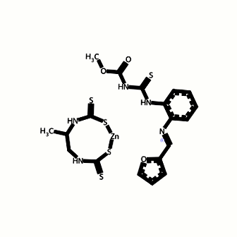 CC1CNC(=S)[S][Zn][S]C(=S)N1.COC(=O)NC(=S)Nc1ccccc1/N=C/c1ccco1